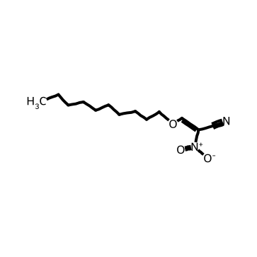 CCCCCCCCCCOC=C(C#N)[N+](=O)[O-]